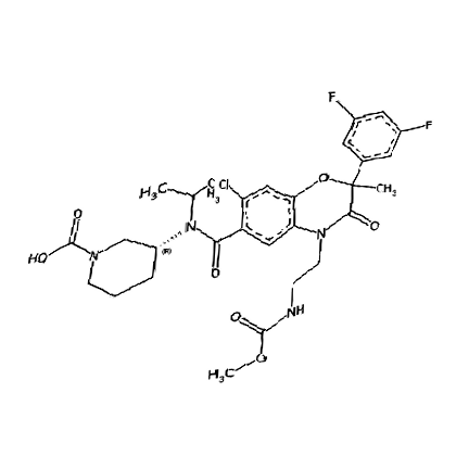 COC(=O)NCCN1C(=O)C(C)(c2cc(F)cc(F)c2)Oc2cc(Cl)c(C(=O)N(C(C)C)[C@@H]3CCCN(C(=O)O)C3)cc21